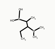 CCC(C(C)N(O)O)N(C)C